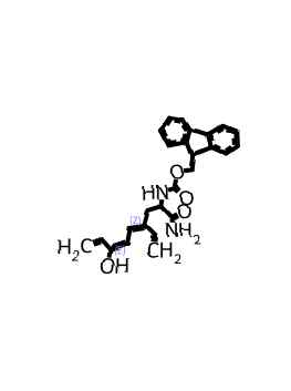 C=C/C(=C\C=C(\O)C=C)CC(NC(=O)OCC1c2ccccc2-c2ccccc21)C(N)=O